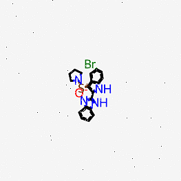 [O-][S+](c1c(-c2nc3ccccc3[nH]2)[nH]c2ccc(Br)cc12)N1CCCC1